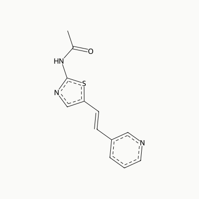 CC(=O)Nc1ncc(C=Cc2cccnc2)s1